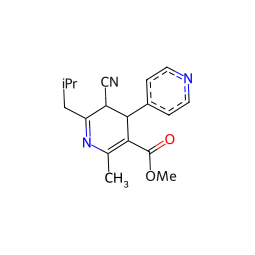 COC(=O)C1=C(C)N=C(CC(C)C)C(C#N)C1c1ccncc1